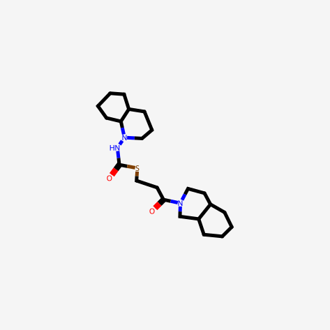 O=C(NN1CCCC2CCCCC21)SCCC(=O)N1CCC2CCCCC2C1